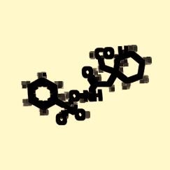 O=C(O)CC1(CC(=O)NOS(=O)(=O)c2ccccc2)CCCCC1